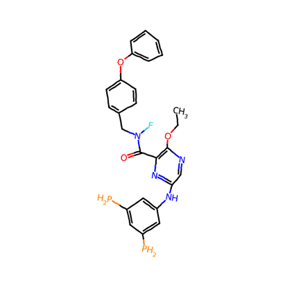 CCOc1ncc(Nc2cc(P)cc(P)c2)nc1C(=O)N(F)Cc1ccc(Oc2ccccc2)cc1